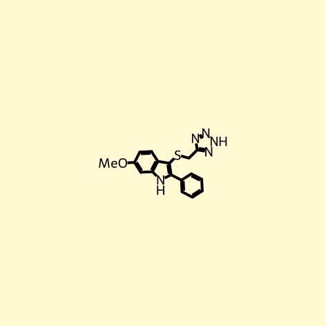 COc1ccc2c(SCc3nn[nH]n3)c(-c3ccccc3)[nH]c2c1